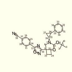 CC(C)(C)OC(=O)N(CC1(c2noc(-c3ccc(C#N)cc3)n2)CCC1)[C@H]1CC1c1ccccc1